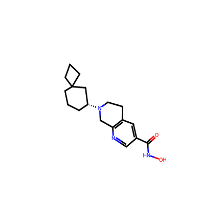 O=C(NO)c1cnc2c(c1)CCN([C@@H]1CCCC3(CCC3)C1)C2